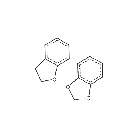 c1ccc2c(c1)CCO2.c1ccc2c(c1)OCO2